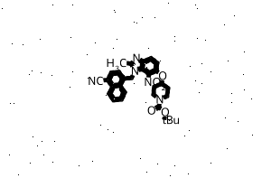 Cc1nc2ccc(OC3CCN(C(=O)OC(C)(C)C)CC3)c([N+](=O)[O-])c2n1Cc1ccc(C#N)c2ccccc12